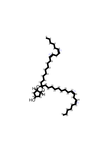 CCCCC/C=C\C/C=C\CCCCCCCCC1(CCCCCCCC/C=C\C/C=C\CCCCC)O[C@H]2CC(O)C[C@H]2O1